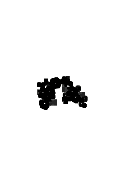 CCn1c(-c2cc(N3CCCCC3)cnc2C(C)C)c(CC(C)(C)CO)c2cc(-c3csc(C[C@H](NC(=O)OC(C)(C)C)C(=O)N4CCC[C@@H](C(=O)OC)N4)n3)ccc21